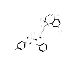 Cc1ccc(S(=O)(=O)N[C@H](Cc2ccccc2)C(=O)OCC[C@]2(O)c3cc(Cl)ccc3NCCC2(F)F)cc1